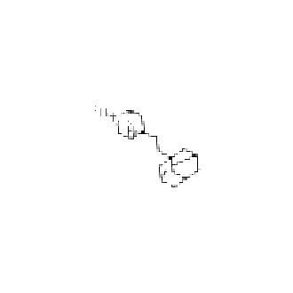 [2H]N1CC2CCC1CN2CCC12CC3CC(CC(C3)C1)C2